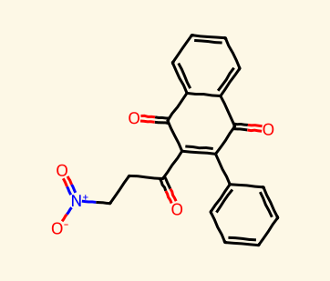 O=C(CC[N+](=O)[O-])C1=C(c2ccccc2)C(=O)c2ccccc2C1=O